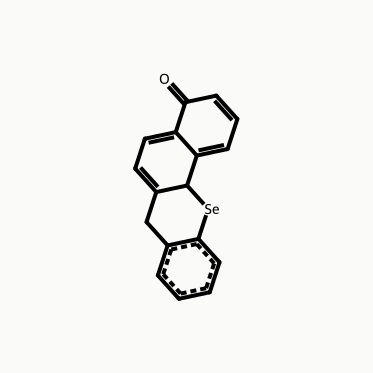 O=C1C=CC=C2C1=CC=C1Cc3ccccc3[Se]C12